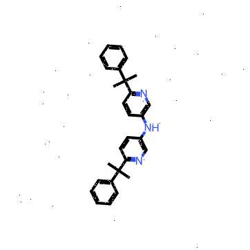 CC(C)(c1ccccc1)c1ccc(Nc2ccc(C(C)(C)c3ccccc3)nc2)cn1